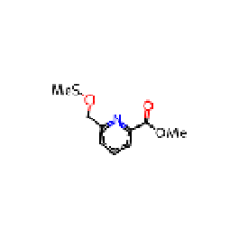 COC(=O)c1cccc(COSC)n1